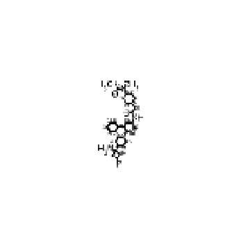 CCC(=O)N(C)C1CCC(CC(=O)Nc2cc(-c3ccccc3)c(-c3ccc([C@]4(N)C[C@H](F)C4)cc3)nn2)CC1